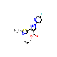 CCOC(=O)c1cn(-c2ccc(F)cn2)nc1-c1cnc(C)s1